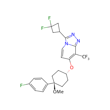 CO[C@]1(c2ccc(F)cc2)CC[C@@H](Oc2ccn3c(C4CC(F)(F)C4)nnc3c2C(F)(F)F)CC1